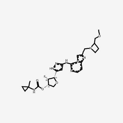 COCC1CCN1Cc1cn2c(Nc3cc([C@@H]4OC[C@H](OC(=O)NC5(C)CC5)[C@@H]4F)[nH]n3)nccc2n1